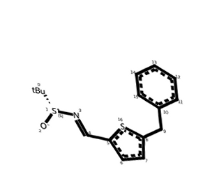 CC(C)(C)[S@@+]([O-])N=Cc1ccc(Cc2ccccc2)s1